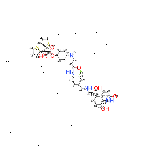 CN(CCC(=O)Nc1ccc(CNC[C@H](O)c2ccc(O)c3[nH]c(=O)ccc23)cc1F)[C@H]1CC[C@H](OC(=O)C(O)(c2cccs2)c2cccs2)CC1